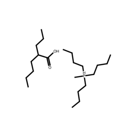 CCCCC(CCC)C(=O)O.CCCC[PH](C)(CCCC)CCCC